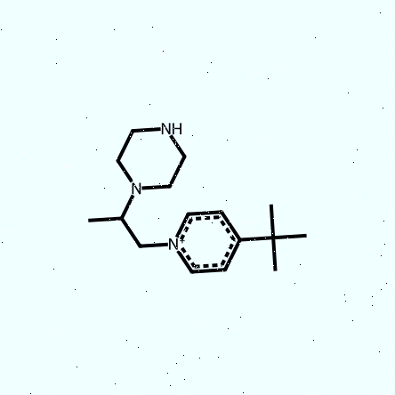 CC(C[n+]1ccc(C(C)(C)C)cc1)N1CCNCC1